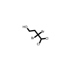 OCCC(Br)(Br)C(Cl)Cl